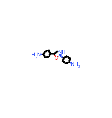 Nc1ccc(C2=CNN(c3ccc(N)cc3)O2)cc1